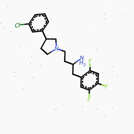 NC(CCN1CCC(c2cccc(Cl)c2)C1)Cc1cc(F)c(F)cc1F